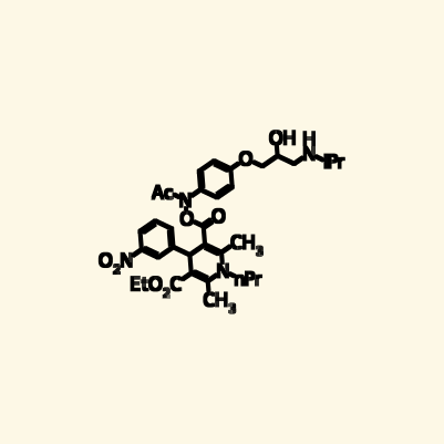 CCCN1C(C)=C(C(=O)OCC)C(c2cccc([N+](=O)[O-])c2)C(C(=O)ON(C(C)=O)c2ccc(OCC(O)CNC(C)C)cc2)=C1C